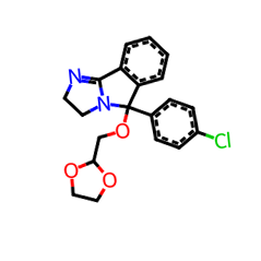 Clc1ccc(C2(OCC3OCCO3)c3ccccc3C3=NCCN32)cc1